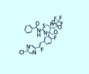 O=C(NC1=N[C@@]2(c3cc(/C=C(\F)c4cnc(Cl)cn4)ccc3F)CO[C@@H](S(=O)(=O)C(F)(F)F)[C@@H]2CS1)c1ccccc1